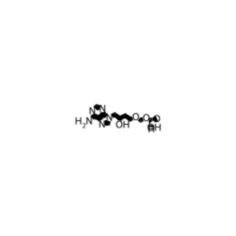 Nc1ncnc2c1ncn2CC(O)CCOCO[PH](=O)O